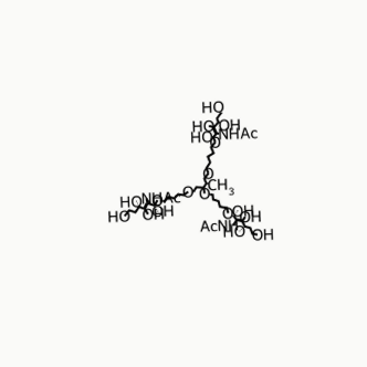 CC(=O)N/C(=C(/O)[C@@H](O)CCO)[C@@H](O)OCCCCCOCCC(OCCCCCO[C@H](O)/C(NC(C)=O)=C(\O)[C@@H](O)CCO)C(C)COCCCCCO[C@H](O)/C(NC(C)=O)=C(\O)[C@@H](O)CCO